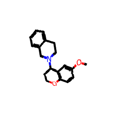 COc1ccc2c(c1)C(N1CCc3ccccc3C1)CCO2